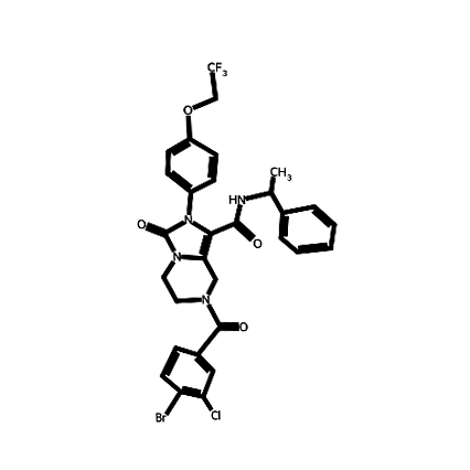 CC(NC(=O)c1c2n(c(=O)n1-c1ccc(OCC(F)(F)F)cc1)CCN(C(=O)c1ccc(Br)c(Cl)c1)C2)c1ccccc1